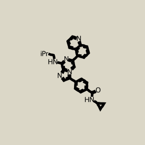 CC(C)CNc1nc(-c2cccc3ncccc23)cn2c(-c3ccc(C(=O)NC4CC4)cc3)cnc12